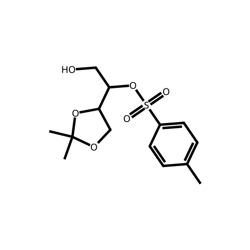 Cc1ccc(S(=O)(=O)OC(CO)C2COC(C)(C)O2)cc1